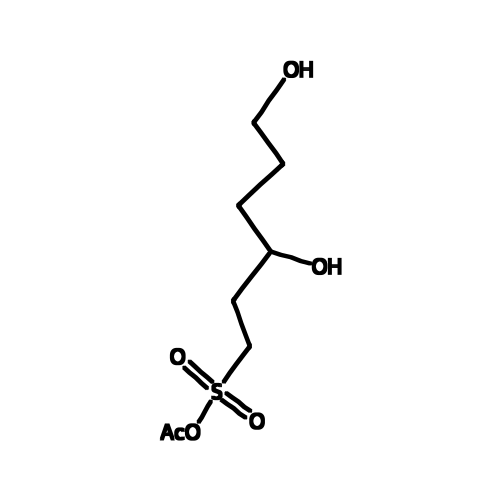 CC(=O)OS(=O)(=O)CCC(O)CCCO